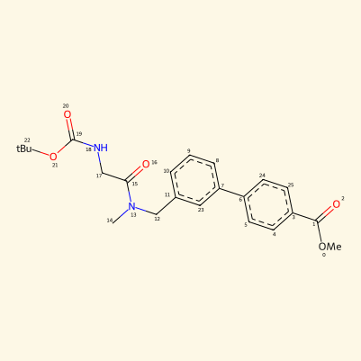 COC(=O)c1ccc(-c2cccc(CN(C)C(=O)CNC(=O)OC(C)(C)C)c2)cc1